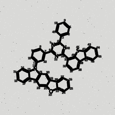 c1ccc(-c2nc(-c3cccc(-n4c5ccccc5c5cc6oc7ccccc7c6cc54)c3)nc(-c3cccc4c3sc3ccccc34)n2)cc1